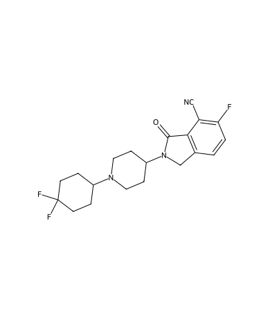 N#Cc1c(F)ccc2c1C(=O)N(C1CCN(C3CCC(F)(F)CC3)CC1)C2